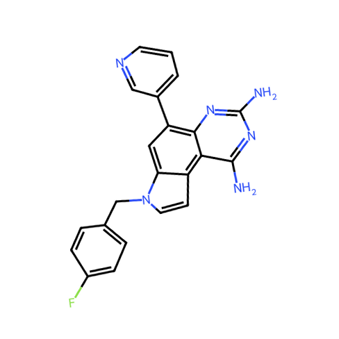 Nc1nc(N)c2c(n1)c(-c1cccnc1)cc1c2ccn1Cc1ccc(F)cc1